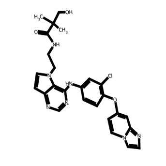 CC(C)(CO)C(=O)NCCn1ccc2ncnc(Nc3ccc(Oc4ccn5ccnc5c4)c(Cl)c3)c21